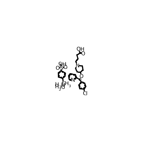 Cc1ccc(S(=O)(=O)O)cc1.O.O.O=C(O)CCCN1CCC(O[C@@H](c2ccc(Cl)cc2)c2ccccn2)CC1